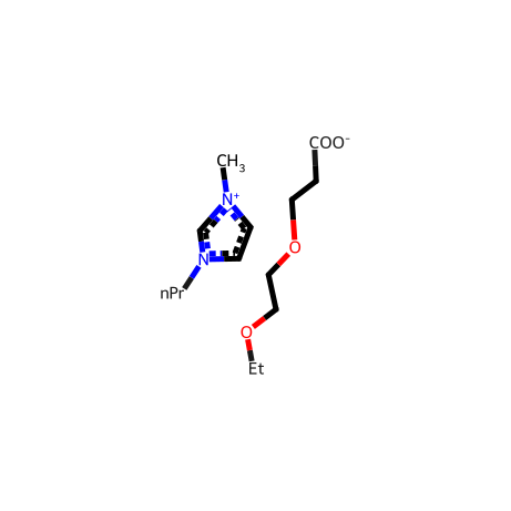 CCCn1cc[n+](C)c1.CCOCCOCCC(=O)[O-]